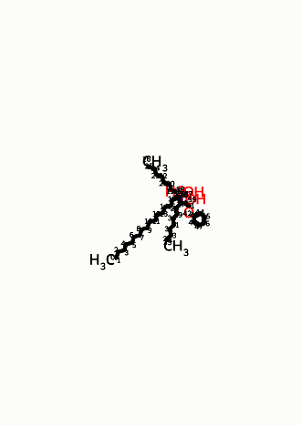 CCCCCCCCCCCCCCCCCC(CCCCCCCCC)(CCCCCCCCC)P(O)(O)(O)CCOc1ccccc1